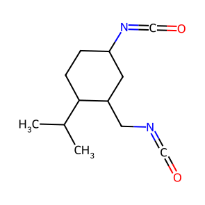 CC(C)C1CCC(N=C=O)CC1CN=C=O